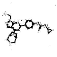 CCn1ncc2c(N3C4CCC3COC4)nc(-c3ccc(NC(=O)NC4CC4)cc3)nc21